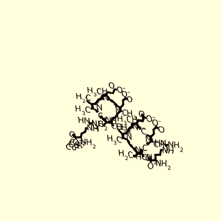 C=CC1=C(C)c2cc3[nH]c(cc4nc(cc5[nH]c(cc1n2)c(C)c5CCC(=O)[O-])C(CCC(=O)[O-])=C4C)c(C)c3C=C.C=CC1=C(C)c2cc3[nH]c(cc4nc(cc5[nH]c(cc1n2)c(C)c5CCC(=O)[O-])C(CCC(=O)[O-])=C4C)c(C)c3C=C.N=C(N)NCCC[C@H](N)C(=O)[O-].N=C(N)NCCC[C@H](N)C(=O)[O-].[Co+2].[Co+2].[Co+2]